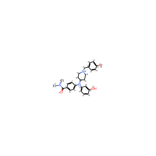 CCN(CC)C(=O)c1ccc(N(c2cccc(O)c2)C2CCN(Cc3ccc(Br)cc3)CC2)cc1